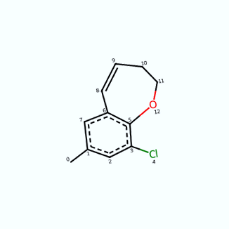 Cc1cc(Cl)c2c(c1)C=CCCO2